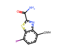 COc1ccc(I)c2sc(C(N)=O)nc12